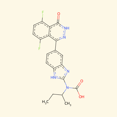 CCC(C)N(C(=O)O)c1nc2cc(-c3n[nH]c(=O)c4c(F)ccc(F)c34)ccc2[nH]1